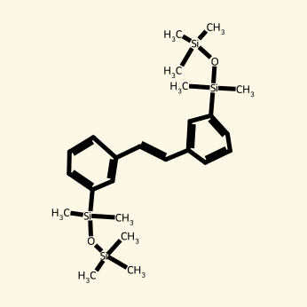 C[Si](C)(C)O[Si](C)(C)c1cccc(C=Cc2cccc([Si](C)(C)O[Si](C)(C)C)c2)c1